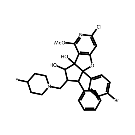 COc1nc(Cl)cc2c1C1(O)C(O)C(CN3CCC(F)CC3)C(c3ccccc3)C1(c1ccc(Br)cc1)O2